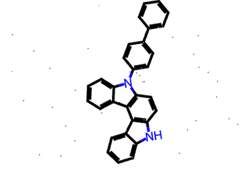 c1ccc(-c2ccc(-n3c4ccccc4c4c5c(ccc43)[nH]c3ccccc35)cc2)cc1